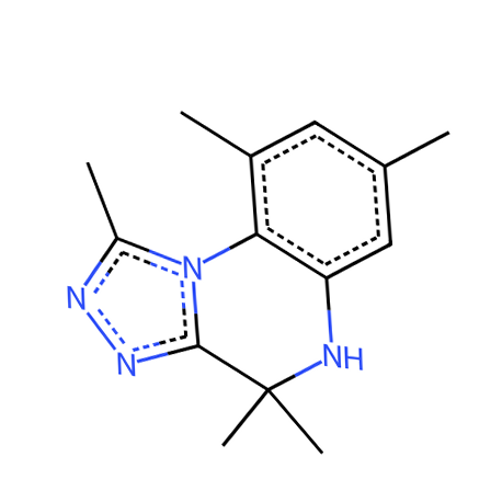 Cc1cc(C)c2c(c1)NC(C)(C)c1nnc(C)n1-2